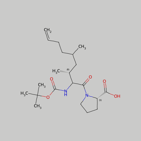 C=CCCC(C)C[C@@H](C)C(NC(=O)OC(C)(C)C)C(=O)N1CCC[C@H]1C(=O)O